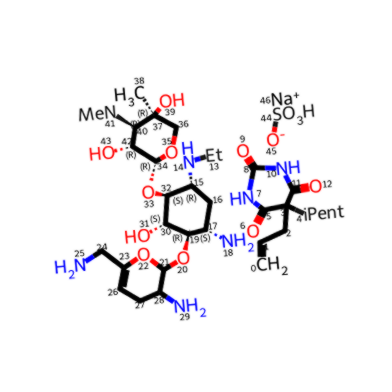 C=CCC1(C(C)CCC)C(=O)NC(=O)NC1=O.CCN[C@@H]1C[C@H](N)[C@@H](OC2OC(CN)=CCC2N)[C@H](O)[C@H]1O[C@H]1OC[C@](C)(O)[C@H](NC)[C@H]1O.O=S(=O)([O-])O.[Na+]